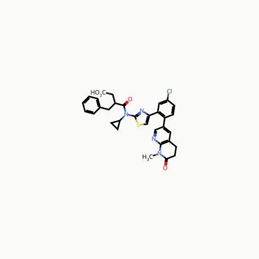 CN1C(=O)CCc2cc(-c3ccc(Cl)cc3-c3csc(N(C(=O)C(CC(=O)O)Cc4ccccc4)C4CC4)n3)cnc21